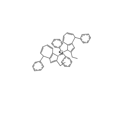 CCC1=CC2=C(C=CC=CC2c2ccccc2)C1[Si](c1ccccc1)(c1ccccc1)C1C(CC)=CC2=C1C=CC=CC2c1ccccc1